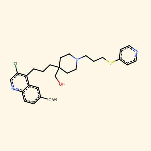 COc1ccc2ncc(Cl)c(CCCC3(CO)CCN(CCCSc4ccncc4)CC3)c2c1